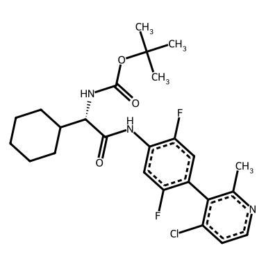 Cc1nccc(Cl)c1-c1cc(F)c(NC(=O)[C@@H](NC(=O)OC(C)(C)C)C2CCCCC2)cc1F